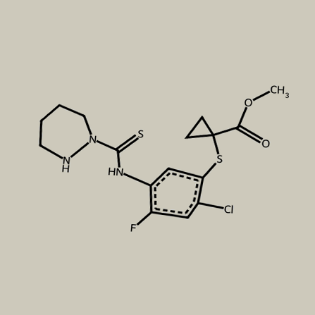 COC(=O)C1(Sc2cc(NC(=S)N3CCCCN3)c(F)cc2Cl)CC1